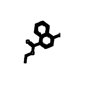 CCOC(=O)c1ccc(I)c2ccccc12